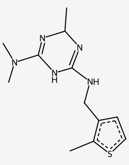 Cc1sccc1CNC1=NC(C)N=C(N(C)C)N1